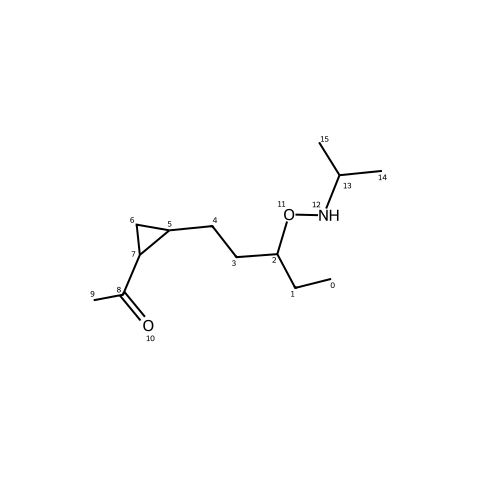 CCC(CCC1CC1C(C)=O)ONC(C)C